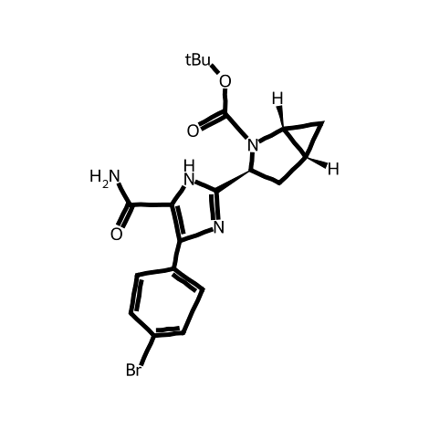 CC(C)(C)OC(=O)N1[C@@H]2C[C@@H]2C[C@H]1c1nc(-c2ccc(Br)cc2)c(C(N)=O)[nH]1